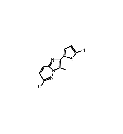 Clc1ccc2nc(-c3ccc(Cl)s3)c(I)n2n1